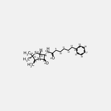 C=C1N2C(=O)[C@@H](NC(=O)CCCCCc3ccccc3)[C@H]2SC1(C)C